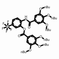 CCCCOc1cc(C(=O)Nc2ccc(S(F)(F)(F)(F)F)cc2OC(=O)c2cc(OCCCC)c(OCCCC)c(OCCCC)c2)cc(OCCCC)c1OCCCC